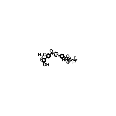 Cc1cc(C(=O)N2CCN(c3ccc(C(=O)NS(=O)(=O)CCC(F)(F)F)cc3)CC2)ccc1-c1cncc(O)c1